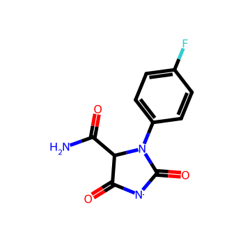 NC(=O)C1C(=O)[N]C(=O)N1c1ccc(F)cc1